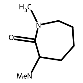 CNC1CCCCN(C)C1=O